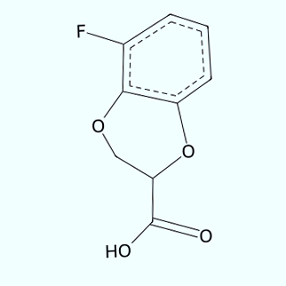 O=C(O)C1COc2c(F)cccc2O1